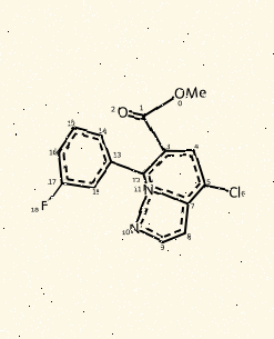 COC(=O)c1cc(Cl)c2ccnn2c1-c1cccc(F)c1